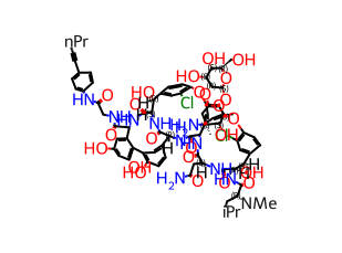 CCCC#Cc1ccc(NC(=O)CNC(=O)C2NC(=O)[C@H]3NC(=O)[C@H](NC(=O)C4NC(=O)[C@H](CC(N)=O)NC(=O)[C@H](NC(=O)[C@@H](CC(C)C)NC)[C@H](O)c5ccc(c(Cl)c5)Oc5cc4cc(c5O[C@@H]4O[C@H](CO)[C@@H](O)[C@H](O)[C@H]4OC4C[C@](C)(N)[C@H](O)[C@H](C)O4)Oc4ccc(cc4Cl)[C@H]3O)c3ccc(O)c(c3)-c3c(O)cc(O)cc32)cc1